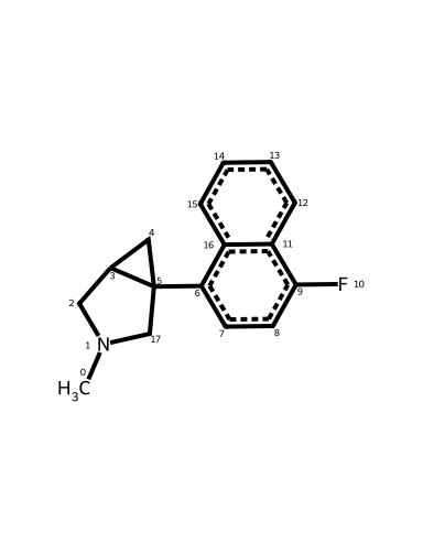 CN1CC2CC2(c2ccc(F)c3ccccc23)C1